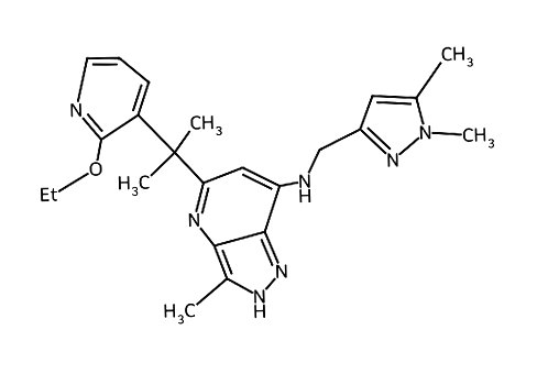 CCOc1ncccc1C(C)(C)c1cc(NCc2cc(C)n(C)n2)c2n[nH]c(C)c2n1